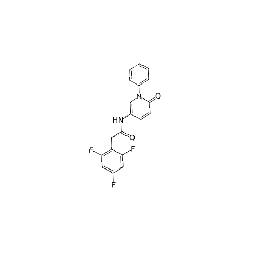 O=C(Cc1c(F)cc(F)cc1F)Nc1ccc(=O)n(-c2ccccc2)c1